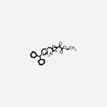 CCOC(=O)C(=O)c1nc(CN2CCN(C(c3ccccc3)c3ccccc3)CC2)c(N)s1